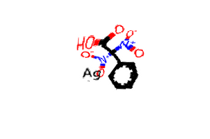 O=C(O)C(c1ccccc1)([N+](=O)[O-])[N+](=O)[O-].[Ag]